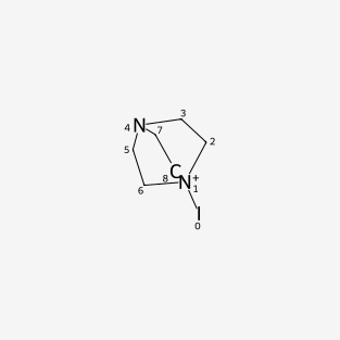 I[N+]12CCN(CC1)CC2